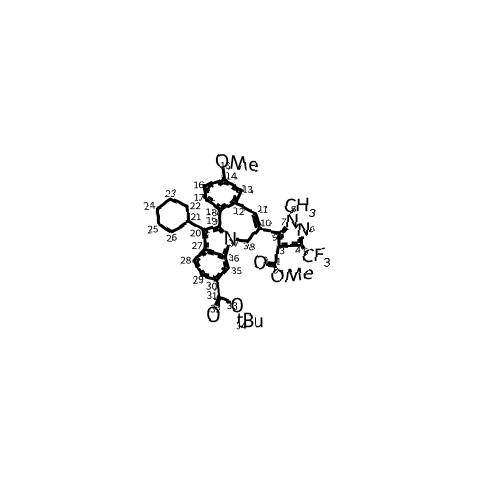 COC(=O)c1c(C(F)(F)F)nn(C)c1C1=Cc2cc(OC)ccc2-c2c(C3CCCCC3)c3ccc(C(=O)OC(C)(C)C)cc3n2C1